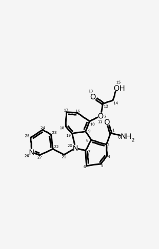 NC(=O)c1cccc2c1c1c(OC(=O)CO)cccc1n2Cc1cccnc1